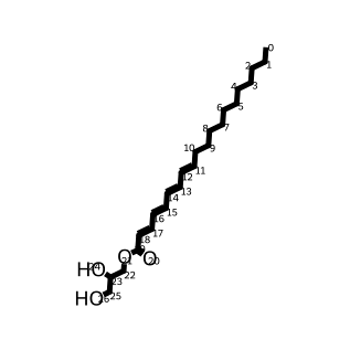 CCCCCCCCCCCC=CC=CC=CC=CC(=O)OCC(O)CO